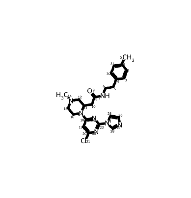 Cc1ccc(CCNC(=O)CC2CN(C)CCN2c2cc(Cl)nc(-n3ccnc3)n2)cc1